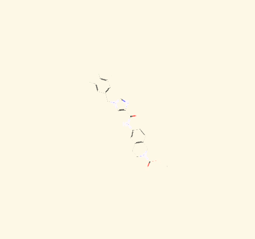 CC(C)(C)OC(=O)N1CCc2cc(NC(=O)c3cn(Cc4cc(F)c(F)c(F)c4)cn3)ccc2C1